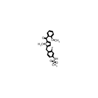 COc1ccccc1C(=O)c1ccc(Cc2ccc(NS(C)(=O)=O)cc2F)n1C